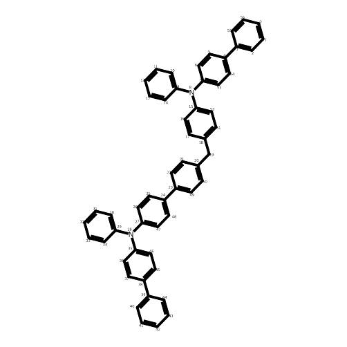 c1ccc(-c2ccc(N(c3ccccc3)c3ccc(Cc4ccc(-c5ccc(N(c6ccccc6)c6ccc(-c7ccccc7)cc6)cc5)cc4)cc3)cc2)cc1